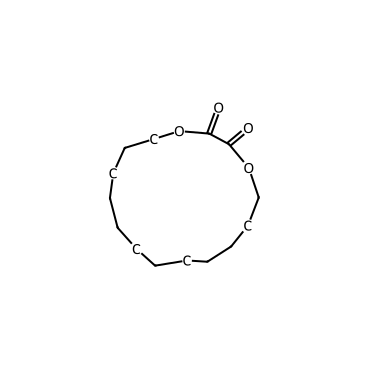 O=C1OCCCCCCCCCCCCOC1=O